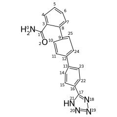 NC(=O)c1ccccc1-c1ccc(-c2ccc(-c3nnn[nH]3)cc2)cc1